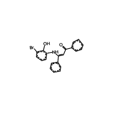 O=C(/C=C(\Nc1cccc(Br)c1O)c1ccccc1)c1ccccc1